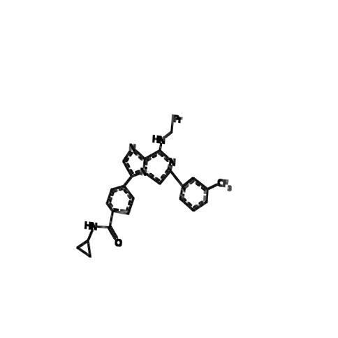 CC(C)CNc1nc(-c2cccc(C(F)(F)F)c2)cn2c(-c3ccc(C(=O)NC4CC4)cc3)cnc12